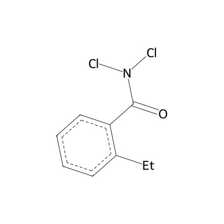 CCc1ccccc1C(=O)N(Cl)Cl